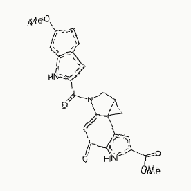 COC(=O)c1cc2c([nH]1)C(=O)C=C1N(C(=O)c3cc4ccc(OC)cc4[nH]3)CC3CC123